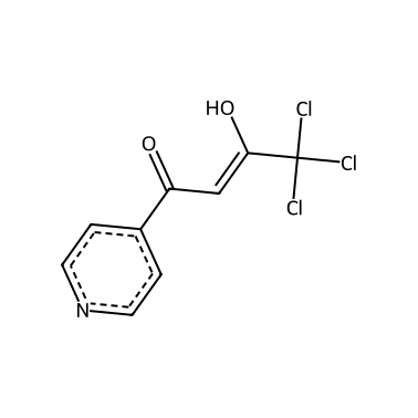 O=C(C=C(O)C(Cl)(Cl)Cl)c1ccncc1